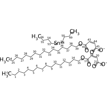 CCCCCCCCCCCCCCCCOC(=O)/C=C\C(=O)[O-].CCCCCCCCCCCCCCCCOC(=O)/C=C\C(=O)[O-].CCC[CH2][Sn+2][CH2]CCC